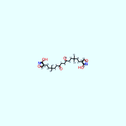 CC(C)(CCC(=O)CCC(=O)CCC(C)(C)CCc1conc1O)CCc1conc1O